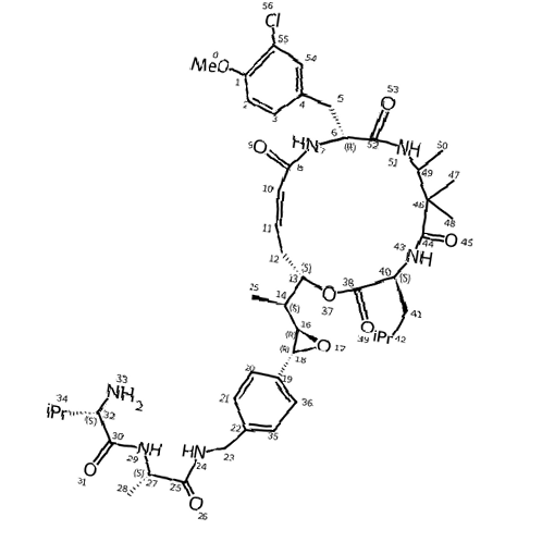 COc1ccc(C[C@H]2NC(=O)C=CC[C@@H]([C@H](C)[C@H]3O[C@@H]3c3ccc(CNC(=O)[C@H](C)NC(=O)[C@@H](N)C(C)C)cc3)OC(=O)[C@H](CC(C)C)NC(=O)C(C)(C)C(C)NC2=O)cc1Cl